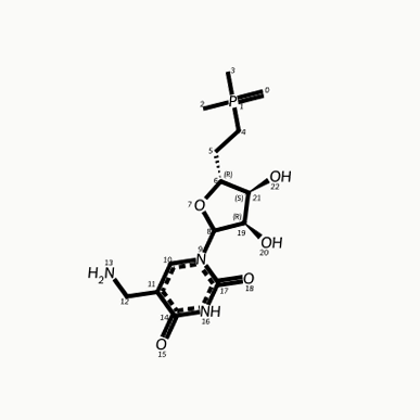 C=P(C)(C)CC[C@H]1OC(n2cc(CN)c(=O)[nH]c2=O)[C@H](O)[C@@H]1O